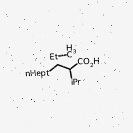 CCC.CCCCCCCCC(C(=O)O)C(C)C